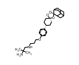 CC(C)(N)CNCCCOc1ccc([C@H]2CC[C@]3(CC2)OO[C@]2(O3)C3CC4CC(C3)CC2C4)cc1